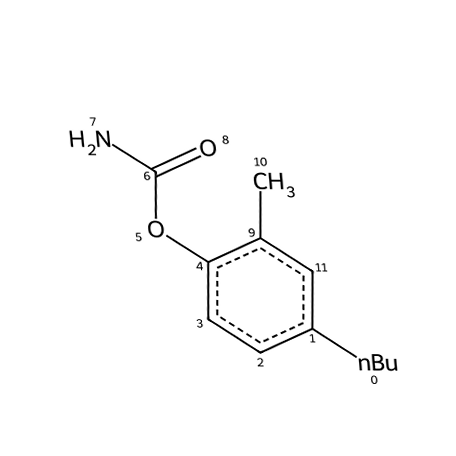 CCCCc1ccc(OC(N)=O)c(C)c1